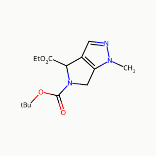 CCOC(=O)C1c2cnn(C)c2CN1C(=O)OC(C)(C)C